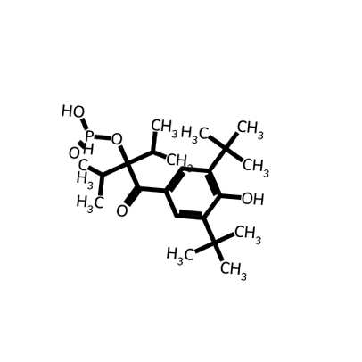 CC(C)C(O[PH](=O)O)(C(=O)c1cc(C(C)(C)C)c(O)c(C(C)(C)C)c1)C(C)C